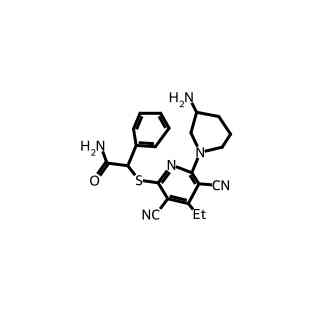 CCc1c(C#N)c(SC(C(N)=O)c2ccccc2)nc(N2CCCC(N)C2)c1C#N